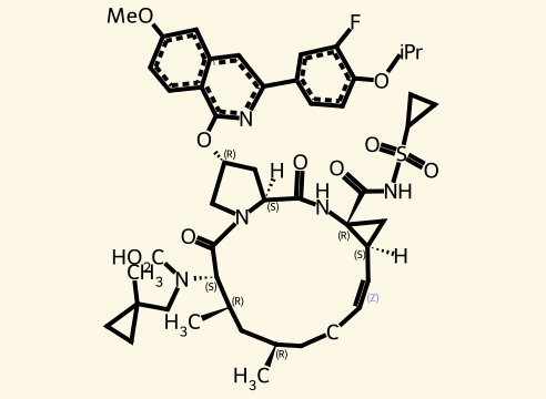 COc1ccc2c(O[C@@H]3C[C@H]4C(=O)N[C@]5(C(=O)NS(=O)(=O)C6CC6)C[C@H]5/C=C\CC[C@@H](C)C[C@@H](C)[C@H](N(CC5(C)CC5)C(=O)O)C(=O)N4C3)nc(-c3ccc(OC(C)C)c(F)c3)cc2c1